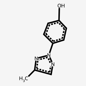 Cc1cnn(-c2ccc(O)cc2)n1